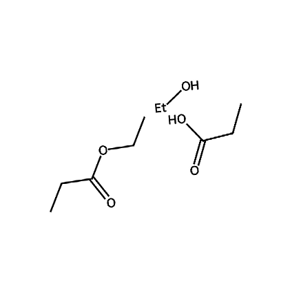 CCC(=O)O.CCO.CCOC(=O)CC